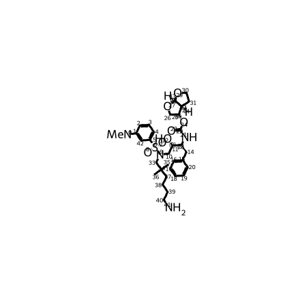 CNc1cccc(S(=O)(=O)N(C[C@@H](O)[C@H](Cc2ccccc2)NC(=O)O[C@H]2CO[C@H]3OCC[C@H]32)CC(C)(C)CCCCN)c1